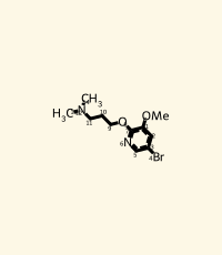 COc1cc(Br)cnc1OCCCN(C)C